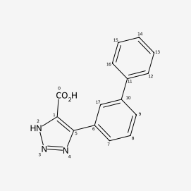 O=C(O)c1[nH]nnc1-c1cccc(-c2ccccc2)c1